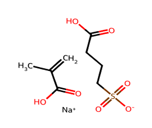 C=C(C)C(=O)O.O=C(O)CCCS(=O)(=O)[O-].[Na+]